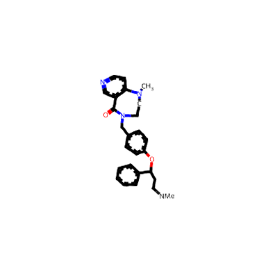 CNCCC(Oc1ccc(CN2CCN(C)c3ccncc3C2=O)cc1)c1ccccc1